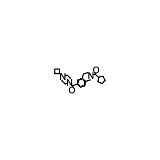 O=C(c1ccc2c(c1)CCN(C(=O)C1CCCC1)C2)N1CCN(C2CCC2)CC1